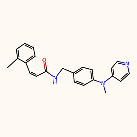 Cc1ccccc1/C=C\C(=O)NCc1ccc(N(C)c2ccncc2)cc1